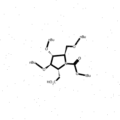 CCCCOC[C@@H]1[C@@H](OCCCC)[C@H](OCCCC)[C@@H](CC(=O)O)N1C(=O)OC(C)(C)C